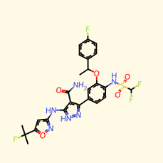 CC(Oc1cc(-c2n[nH]c(Nc3cc(C(C)(C)F)on3)c2C(N)=O)ccc1NS(=O)(=O)C(F)F)c1ccc(F)cc1